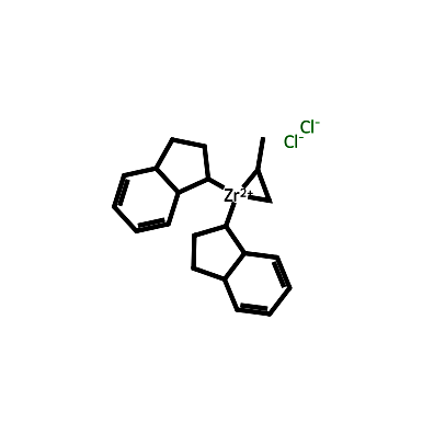 C[CH]1[CH2][Zr+2]1([CH]1CCC2C=CC=CC21)[CH]1CCC2C=CC=CC21.[Cl-].[Cl-]